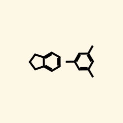 Cc1cc(C)cc(C)c1.c1ccc2c(c1)CCC2